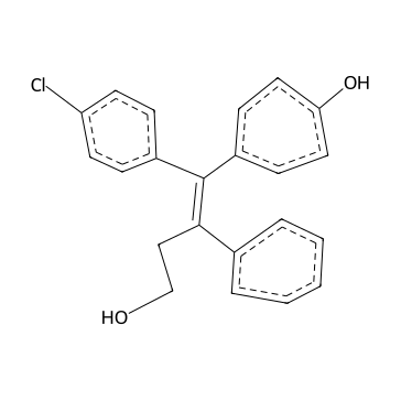 OCCC(=C(c1ccc(O)cc1)c1ccc(Cl)cc1)c1ccccc1